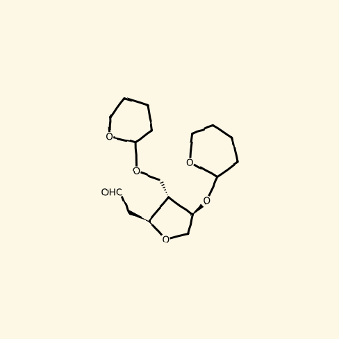 O=CC[C@@H]1OC[C@H](OC2CCCCO2)[C@H]1COC1CCCCO1